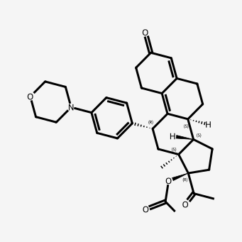 CC(=O)O[C@]1(C(C)=O)CC[C@H]2[C@@H]3CCC4=CC(=O)CCC4=C3[C@@H](c3ccc(N4CCOCC4)cc3)C[C@@]21C